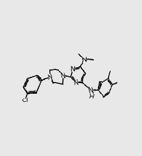 Cc1ccc(Nc2cc(N(C)C)nc(N3CCN(c4cccc(Cl)c4)CC3)n2)cc1C